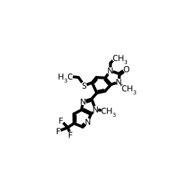 CCSc1cc2c(cc1-c1nc3cc(C(F)(F)F)cnc3n1C)n(C)c(=O)n2CC